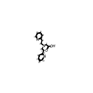 O=C(O)CN(CCc1ccccn1)CCc1ccccn1